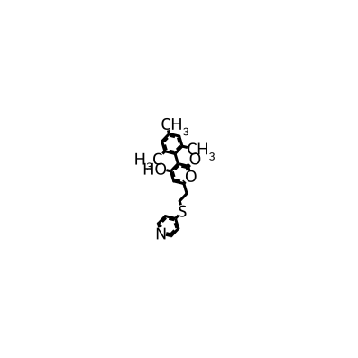 Cc1cc(C)c(-c2c(O)cc(CCSc3ccncc3)oc2=O)c(C)c1